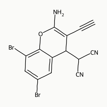 C#CC1=C(N)Oc2c(Br)cc(Br)cc2C1C(C#N)C#N